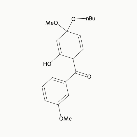 CCCCOC1(OC)C=CC(C(=O)c2cccc(OC)c2)C(O)=C1